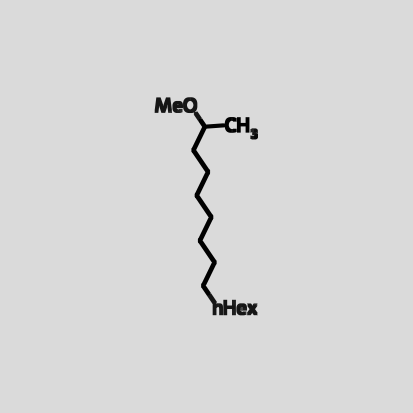 [CH2]CCCCCCCCCCCCC(C)OC